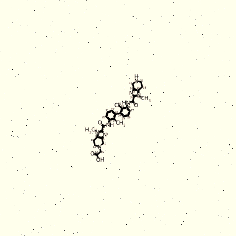 Cc1c(NC(=O)c2nc3c(n2C)CCN(CC(=O)O)C3)cccc1-c1cccc(NC(=O)c2nc3c(n2C)CCNC3)c1Cl